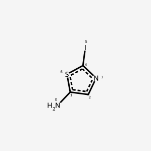 Nc1cnc(I)s1